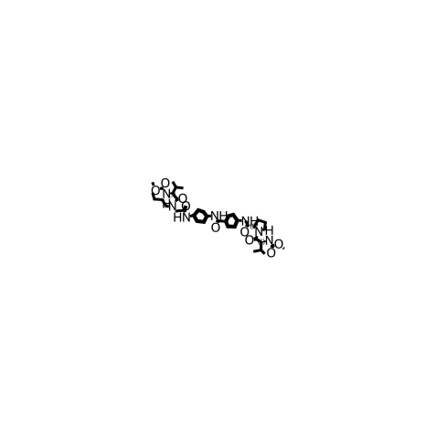 CCCCN(CC(=O)Nc1ccc(NC(=O)c2ccc(NC(=O)[C@@H]3CCCN3C(=O)[C@@H](NC(=O)OC)C(C)C)cc2)cc1)C(=O)[C@@H](NC(=O)OC)C(C)C